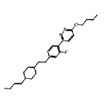 CCCCOc1ccc(-c2ccc(CCC3CCC(CCCC)CC3)cc2F)nn1